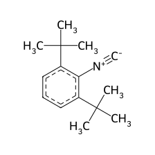 [C-]#[N+]c1c(C(C)(C)C)cccc1C(C)(C)C